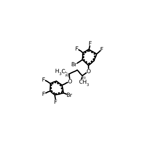 C[C@H](C[C@H](C)Oc1cc(F)c(F)c(F)c1Br)Oc1cc(F)c(F)c(F)c1Br